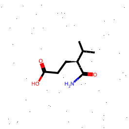 CC(C)[C@H](CCC(=O)O)C(N)=O